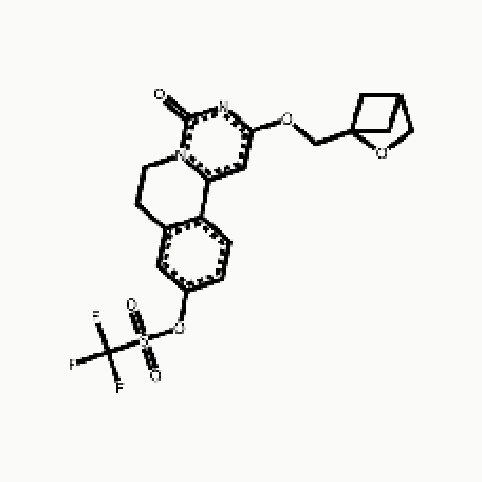 O=c1nc(OCC23CC(CO2)C3)cc2n1CCc1cc(OS(=O)(=O)C(F)(F)F)ccc1-2